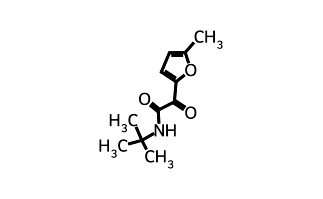 Cc1ccc(C(=O)C(=O)NC(C)(C)C)o1